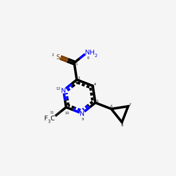 NC(=S)c1cc(C2CC2)nc(C(F)(F)F)n1